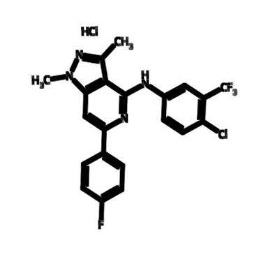 Cc1nn(C)c2cc(-c3ccc(F)cc3)nc(Nc3ccc(Cl)c(C(F)(F)F)c3)c12.Cl